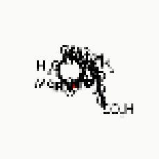 COc1cc2cc(c1Cl)N(C)C(=O)C[C@H](OC(=O)[C@H](C)N(C)C(=O)CCC(=O)N(CCOCCOCCC(=O)O)C1CCNCC1)[C@@H](C)C1OC1[C@H](C)[C@@H]1C[C@@](O)(NC(=O)O1)[C@H](OC)/C=C/C=C(\C)C2